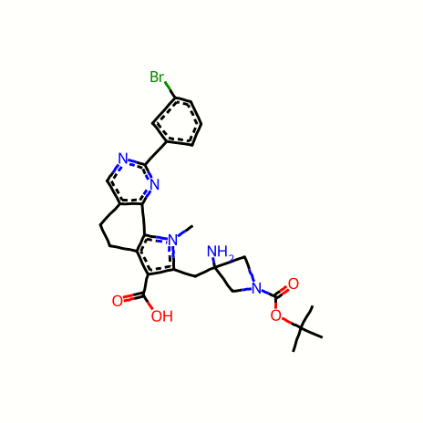 Cn1c(CC2(N)CN(C(=O)OC(C)(C)C)C2)c(C(=O)O)c2c1-c1nc(-c3cccc(Br)c3)ncc1CC2